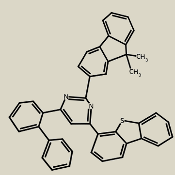 CC1(C)c2ccccc2-c2ccc(-c3nc(-c4ccccc4-c4ccccc4)cc(-c4cccc5c4sc4ccccc45)n3)cc21